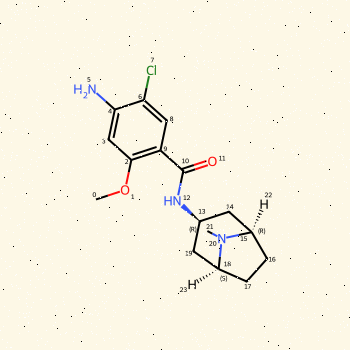 COc1cc(N)c(Cl)cc1C(=O)N[C@H]1C[C@H]2CC[C@@H](C1)N2C